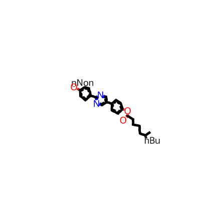 CCCCCCCCCOc1ccc(-c2ncc(-c3ccc(OC(=O)CCCCC(C)CCCC)cc3)cn2)cc1